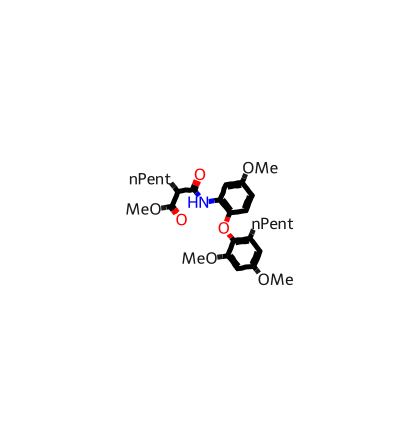 CCCCCc1cc(OC)cc(OC)c1Oc1ccc(OC)cc1NC(=O)C(CCCCC)C(=O)OC